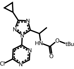 CC(NC(=O)OC(C)(C)C)c1nc(C2CC2)nn1-c1cc(Cl)ncn1